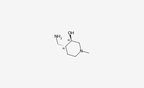 CN1CC[C@H](CN)[C@@H](O)C1